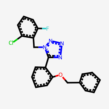 Fc1cccc(Cl)c1Cn1nnnc1-c1ccccc1OCc1ccccc1